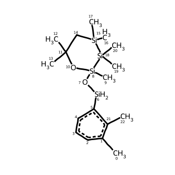 Cc1cccc([SiH2]O[Si]2(C)OC(C)(C)C[Si](C)(C)[Si]2(C)C)c1C